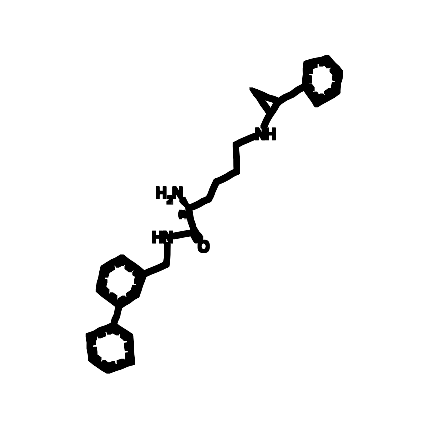 N[C@@H](CCCCNC1CC1c1ccccc1)C(=O)NCc1cccc(-c2ccccc2)c1